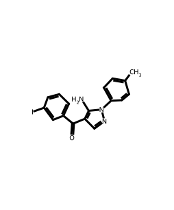 Cc1ccc(-n2ncc(C(=O)c3cccc(I)c3)c2N)cc1